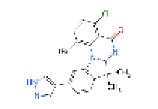 CC(C)(C)c1ccc(Cl)c2c(=O)nc3n(c12)-c1cc(-c2cn[nH]c2)ccc1C3(C)C